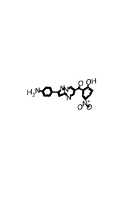 Nc1ccc(-c2cc3ncc(C(=O)c4cc([N+](=O)[O-])ccc4O)cn3n2)cc1